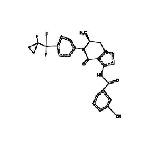 C[C@H]1Cn2ncc(NC(=O)c3cccc(C#N)c3)c2C(=O)N1c1ccc(C(F)(F)C2(F)CC2)cc1